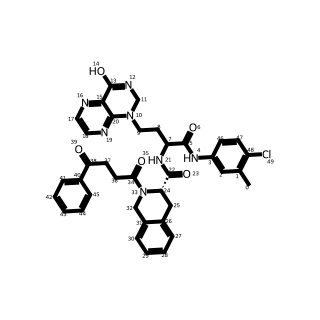 Cc1cc(NC(=O)C(CCN2CN=C(O)c3nccnc32)NC(=O)[C@@H]2Cc3ccccc3CN2C(=O)CCC(=O)c2ccccc2)ccc1Cl